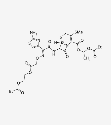 CCC(=O)OCCOC(=O)CON=C(C(=O)NC1C(=O)N2C(C(=O)OC(C)OC(=O)CC)=C(SC)CS[C@@H]12)c1csc(N)n1